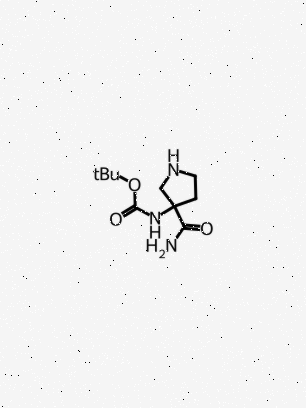 CC(C)(C)OC(=O)NC1(C(N)=O)CCNC1